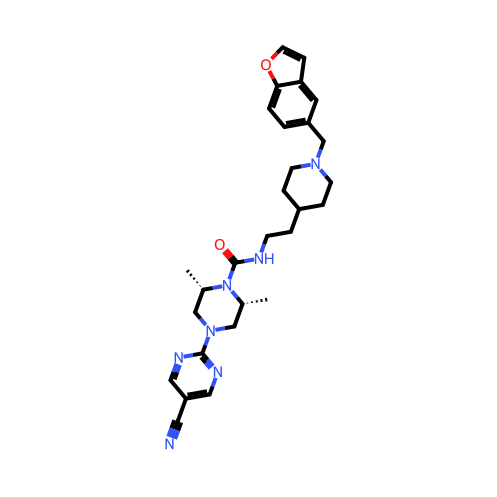 C[C@@H]1CN(c2ncc(C#N)cn2)C[C@H](C)N1C(=O)NCCC1CCN(Cc2ccc3occc3c2)CC1